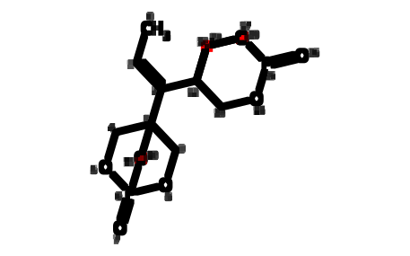 CC=C(C12COP(=O)(OC1)OC2)C12COP(=O)(OC1)OC2